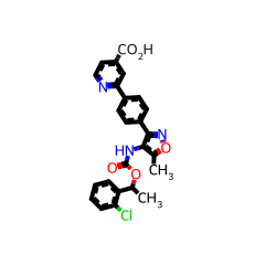 Cc1onc(-c2ccc(-c3cc(C(=O)O)ccn3)cc2)c1NC(=O)OC(C)c1ccccc1Cl